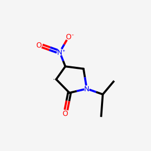 CC(C)N1CC([N+](=O)[O-])[CH]C1=O